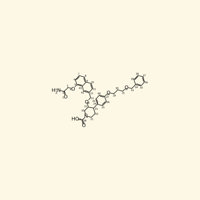 NC(=O)COc1cccc2ccc(COC3CN(C(=O)O)CCC3c3ccc(OCCCOCc4ccccc4)cc3)cc12